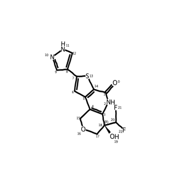 O=c1[nH]c2c(c3cc(-c4cn[nH]c4)sc13)COC[C@@]2(O)C(F)F